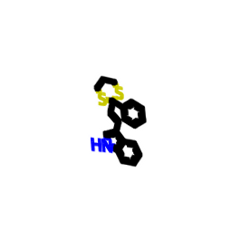 C(=C\C1(c2ccccc2)SCCCS1)/c1c[nH]c2ccccc12